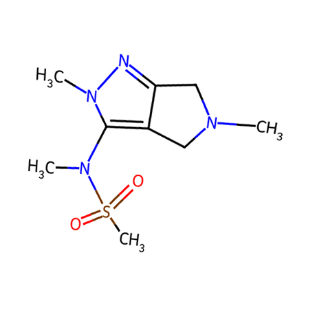 CN1Cc2nn(C)c(N(C)S(C)(=O)=O)c2C1